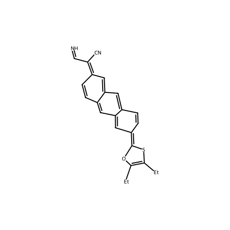 CCC1=C(CC)S/C(=c2\ccc3cc4c/c(=C(\C#N)C=N)ccc4cc3c2)O1